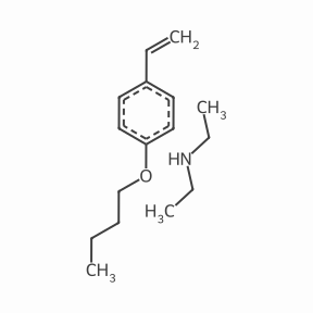 C=Cc1ccc(OCCCC)cc1.CCNCC